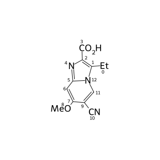 CCc1c(C(=O)O)nc2cc(OC)c(C#N)cn12